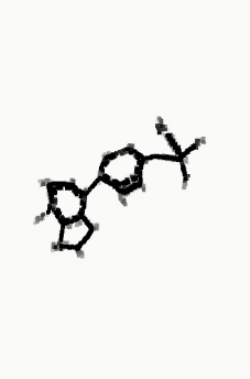 FC(F)(F)c1ccc(-c2ccnc3c2CCN3)cc1